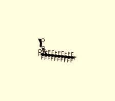 O=S(=O)(OCC1CO1)C(F)(F)C(F)(F)C(F)(F)C(F)(F)C(F)(F)C(F)(F)C(F)(F)C(F)(F)C(F)(F)C(F)(F)F